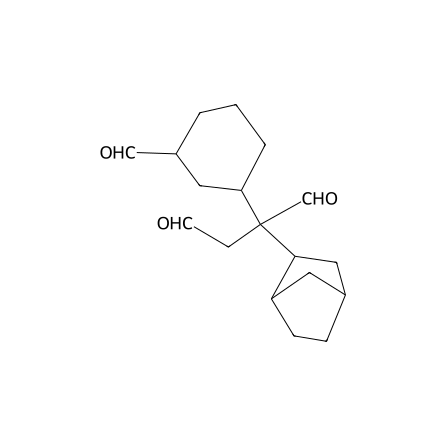 O=CCC(C=O)(C1CCCC(C=O)C1)C1CC2CCC1C2